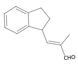 CC(C=O)=CC1CCc2ccccc21